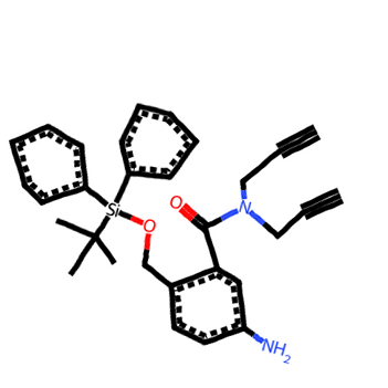 C#CCN(CC#C)C(=O)c1cc(N)ccc1CO[Si](c1ccccc1)(c1ccccc1)C(C)(C)C